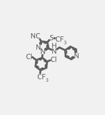 N#Cc1nn(-c2c(Cl)cc(C(F)(F)F)cc2Cl)c(NCc2ccncc2)c1SC(F)(F)F